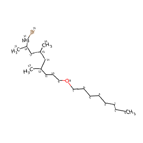 CCCCCCCCOCCCC(C)CC(C)C[CH](C)[Mg][Br]